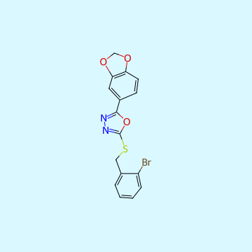 Brc1ccccc1CSc1nnc(-c2ccc3c(c2)OCO3)o1